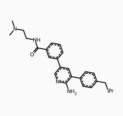 CC(C)Cc1ccc(-c2cc(-c3cccc(C(=O)NCCN(C)C)c3)cnc2N)cc1